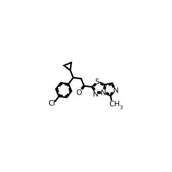 Cc1ncc2sc(C(=O)CC(c3ccc(Cl)cc3)C3CC3)nn12